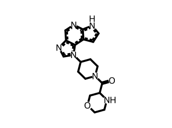 O=C(C1COCCN1)N1CCC(n2cnc3cnc4[nH]ccc4c32)CC1